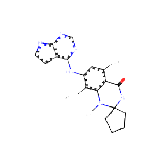 COc1c(Nc2ncnc3[nH]ccc23)cc(C)c2c1N(C)C1(CCCC1)NC2=O